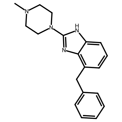 CN1CCN(c2nc3c(Cc4ccccc4)cccc3[nH]2)CC1